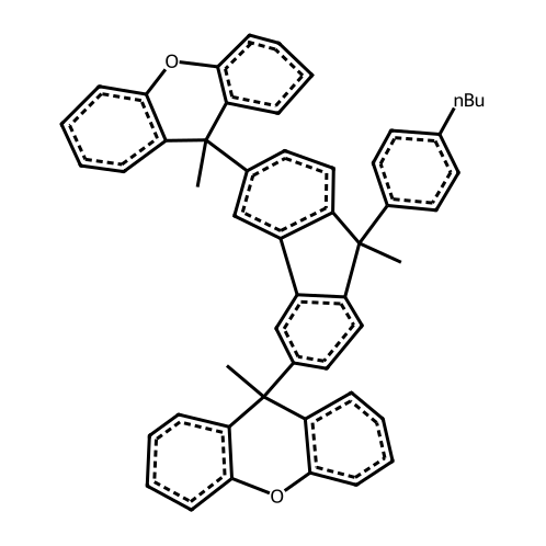 CCCCc1ccc(C2(C)c3ccc(C4(C)c5ccccc5Oc5ccccc54)cc3-c3cc(C4(C)c5ccccc5Oc5ccccc54)ccc32)cc1